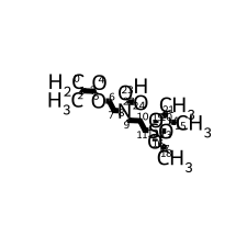 C=C(C)C(=O)OCCN(CCC[Si](OCC)(OCC)OCC)C(=O)O